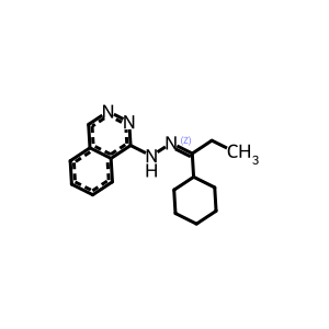 CC/C(=N/Nc1nncc2ccccc12)C1CCCCC1